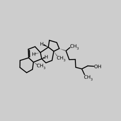 CC(CO)CCCC(C)[C@H]1CC[C@H]2[C@@H]3CC=C4CCCC[C@]4(C)[C@H]3CC[C@]12C